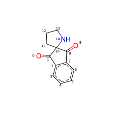 O=C1c2ccccc2C(=O)C12CCCN2